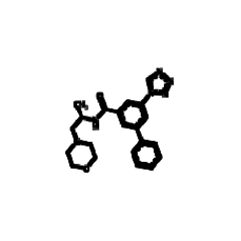 C[C@H](CN1CCOCC1)NC(=O)c1cc(-c2ccccc2)cc(-n2cnnn2)c1